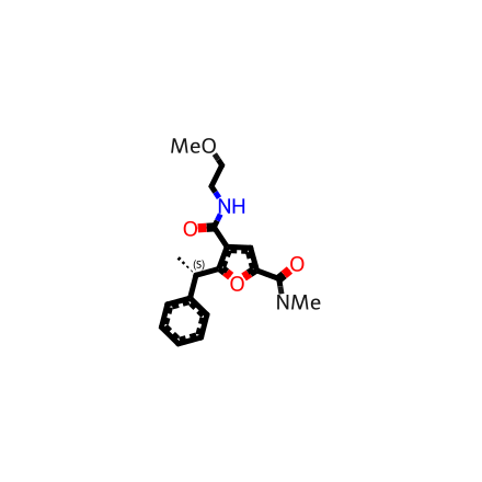 CNC(=O)c1cc(C(=O)NCCOC)c([C@@H](C)c2ccccc2)o1